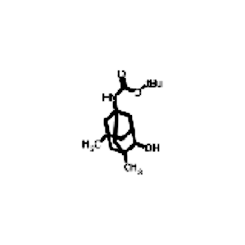 CC12CC3CC(NC(=O)OC(C)(C)C)(C1)CC(C)(C2)C3O